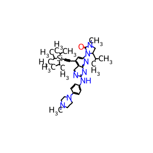 CC(C)C1CN(C)C(=O)N1c1cc(C#C[Si](C(C)C)(C(C)C)C(C)C)c2cnc(Nc3ccc(N4CCN(C)CC4)cc3)nc2n1